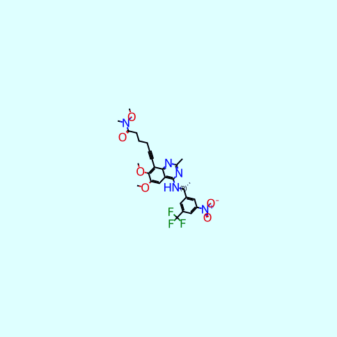 COc1cc2c(N[C@H](C)c3cc([N+](=O)[O-])cc(C(F)(F)F)c3)nc(C)nc2c(C#CCCCC(=O)N(C)OC)c1OC